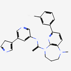 C=C(Nc1cncc(C2=CN=CC2)c1)N1CCCN(C)c2ccc(-c3cccc(SC)c3)nc21